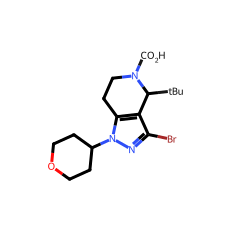 CC(C)(C)C1c2c(Br)nn(C3CCOCC3)c2CCN1C(=O)O